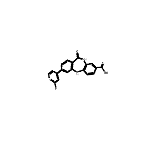 O=C(O)c1ccc2c(c1)NC(=O)c1ccc(-c3ccnc(F)c3)cc1N2